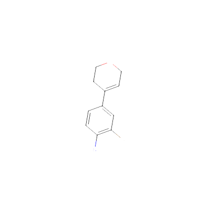 Nc1ccc(C2=CCOCC2)cc1S